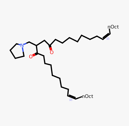 CCCCCCCC/C=C\CCCCCCCC(=O)CC(CN1CCCC1)C(=O)CCCCCCC/C=C\CCCCCCCC